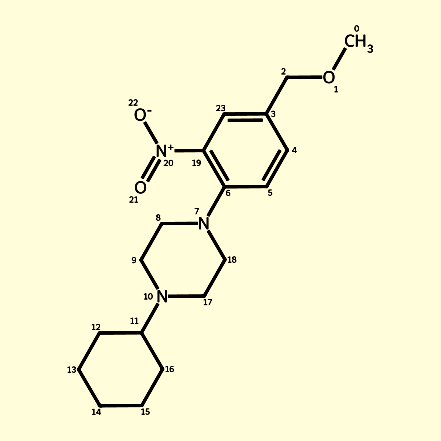 COCc1ccc(N2CCN(C3CCCCC3)CC2)c([N+](=O)[O-])c1